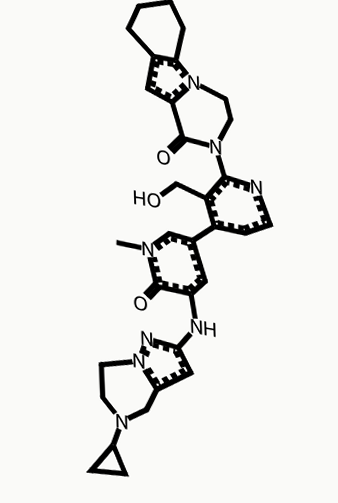 Cn1cc(-c2ccnc(N3CCn4c(cc5c4CCCC5)C3=O)c2CO)cc(Nc2cc3n(n2)CCN(C2CC2)C3)c1=O